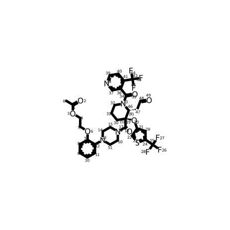 CC(=O)OCCOc1ccccc1N1CCN(C(=O)[C@]2(Oc3csc(C(F)(F)F)c3)CCCN(C(=O)c3cnccc3C(F)(F)F)[C@@H]2CC=O)CC1